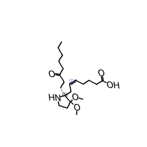 CCCCCC(=O)CC[C@@]1(C/C=C\CCCC(=O)O)NCCC1(OC)OC